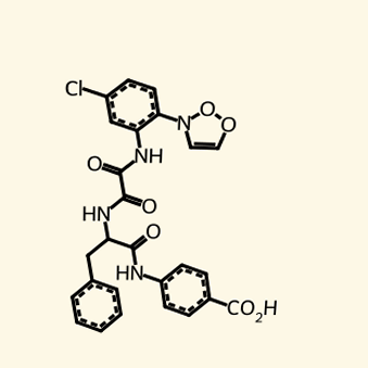 O=C(Nc1cc(Cl)ccc1N1C=COO1)C(=O)NC(Cc1ccccc1)C(=O)Nc1ccc(C(=O)O)cc1